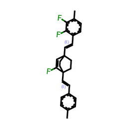 Cc1ccc(/C=C/C23CCC(/C=C/c4ccc(C)c(F)c4F)(C=C2F)CC3)cc1